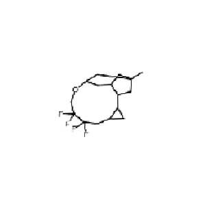 CC12CC3CC(C1)C(C2)C1CC1CC(F)(F)C(F)(F)CO3